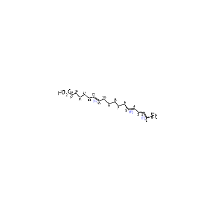 CC/C=C/C/C=C/CCCCC/C=C/CCCCCC(=O)O